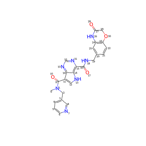 CN(Cc1cccnc1)C(=O)c1c[nH]c2c(C(=O)NCc3ccc4c(c3)NC(=O)CO4)ncnc12